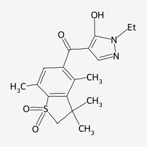 CCn1ncc(C(=O)c2cc(C)c3c(c2C)C(C)(C)CS3(=O)=O)c1O